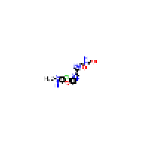 Cc1nc2ccc(Oc3ccc4ncc(-c5cnn(CC(=O)NCCO)c5)nc4c3Cl)cc2[nH]1